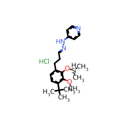 COc1c(C(C)(C)C)ccc(CC/C=N/Nc2ccncc2)c1O[SiH](C)C.Cl